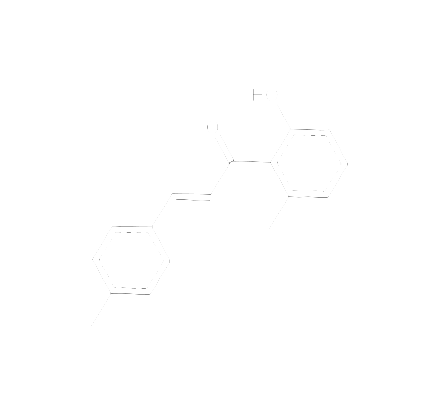 Cc1ccc(C=CC(=O)c2c(C)cccc2O)cc1